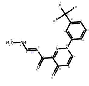 CN/C=N/C(=O)c1nn(-c2cccc(C(F)(F)F)c2)ccc1=O